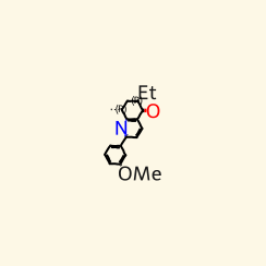 CC[C@@H]1C[C@@H](C)c2nc(-c3cccc(OC)c3)ccc2C1=O